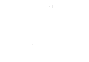 CC[CH]C1=NCCO1